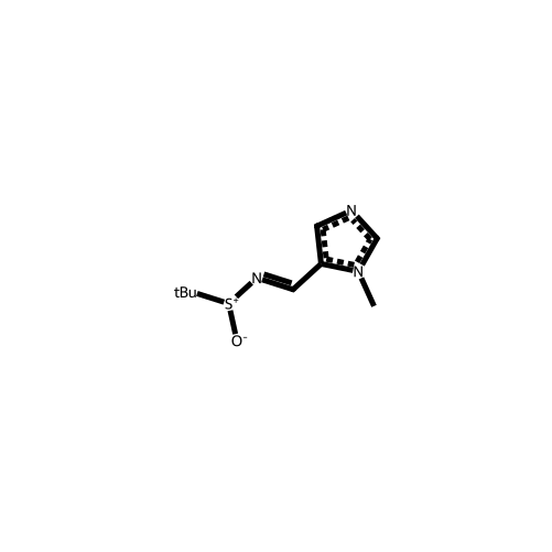 Cn1cncc1C=N[S+]([O-])C(C)(C)C